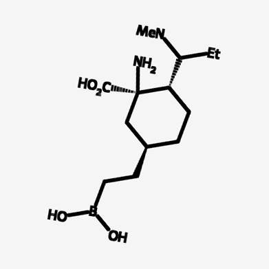 CCC(NC)[C@@H]1CC[C@@H](CCB(O)O)C[C@]1(N)C(=O)O